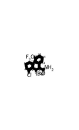 CC(C)(C)C(c1ccccc1Cl)C(C(N)=O)c1cccc(C(F)(F)F)c1